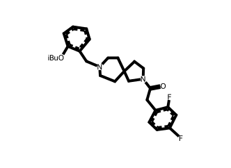 CC(C)COc1ccccc1CN1CCC2(CC1)CCN(C(=O)Cc1ccc(F)cc1F)C2